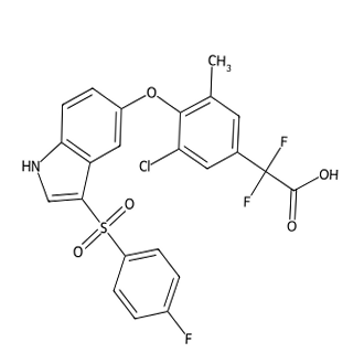 Cc1cc(C(F)(F)C(=O)O)cc(Cl)c1Oc1ccc2[nH]cc(S(=O)(=O)c3ccc(F)cc3)c2c1